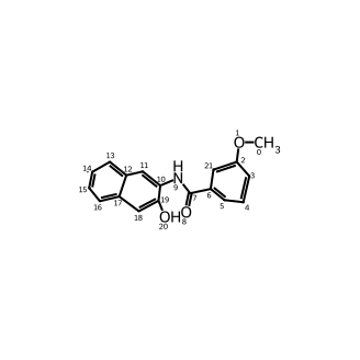 COc1cccc(C(=O)Nc2cc3c[c]ccc3cc2O)c1